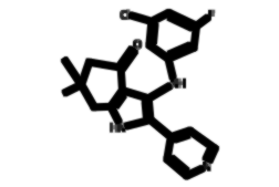 CC1(C)CC(=O)c2c([nH]c(-c3ccncc3)c2Nc2cc(F)cc(Cl)c2)C1